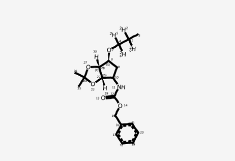 [2H]C([2H])(C)C([2H])([2H])O[C@H]1CC(NC(=O)OCc2ccccc2)[C@@H]2OC(C)(C)O[C@H]12